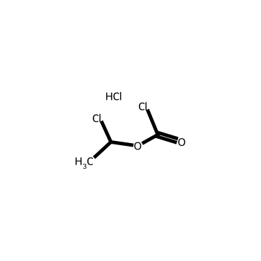 CC(Cl)OC(=O)Cl.Cl